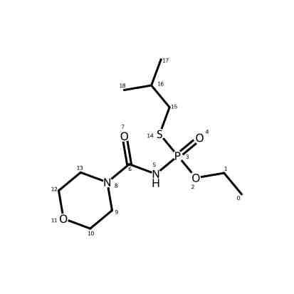 CCOP(=O)(NC(=O)N1CCOCC1)SCC(C)C